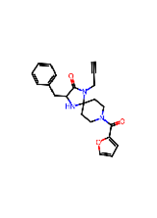 C#CCN1C(=O)C(Cc2ccccc2)NC12CCN(C(=O)c1ccco1)CC2